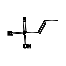 CC=CP(O)(=S)CC